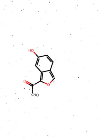 O=CC(=O)c1occ2ccc(O)cc12